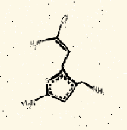 N/C(Cl)=C\c1sc(N)cc1N